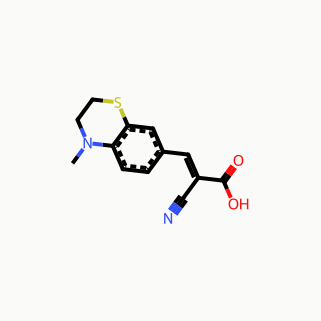 CN1CCSc2cc(/C=C(\C#N)C(=O)O)ccc21